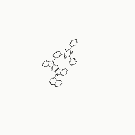 c1ccc(-c2nc(-c3ccccc3)nc(-c3cccc(-n4c5ccccc5c5cc6c(cc54)c4ccccc4n6-c4cccc5ccccc45)c3)n2)cc1